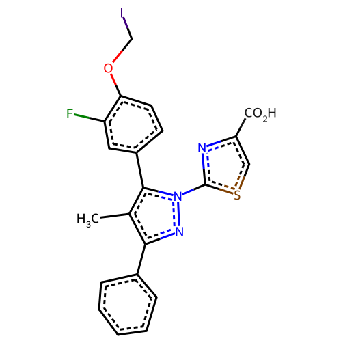 Cc1c(-c2ccccc2)nn(-c2nc(C(=O)O)cs2)c1-c1ccc(OCI)c(F)c1